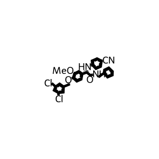 COc1cc([C@H](Nc2ccc(C#N)cc2)C(=O)NCc2ccccc2)ccc1OCc1cc(Cl)cc(Cl)c1